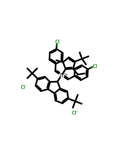 CCC1=[C]([Zr+2](=[CH]c2ccc(Cl)cc2)(=[CH]c2ccc(Cl)cc2)[CH]2c3cc(C(C)(C)C)ccc3-c3ccc(C(C)(C)C)cc32)C(C)C=C1C(C)(C)C.[Cl-].[Cl-]